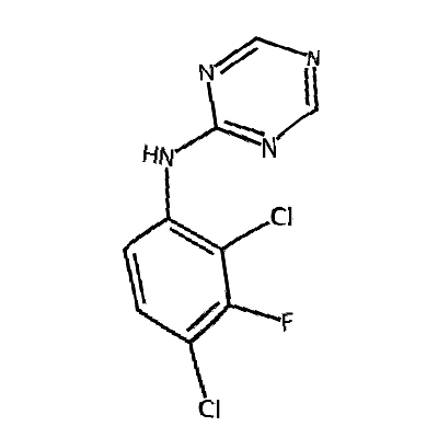 Fc1c(Cl)ccc(Nc2ncncn2)c1Cl